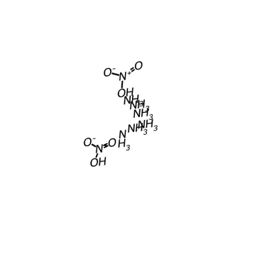 N.N.N.N.N.N.O=[N+]([O-])O.O=[N+]([O-])O